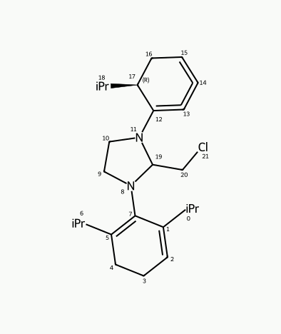 CC(C)C1=CCCC(C(C)C)=C1N1CCN(C2=C=C=CC[C@@H]2C(C)C)C1CCl